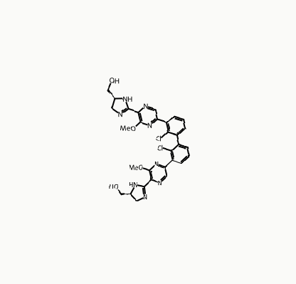 COc1nc(-c2cccc(-c3cccc(-c4cnc(C5=NC[C@@H](CO)N5)c(OC)n4)c3Cl)c2Cl)cnc1C1=NC[C@@H](CO)N1